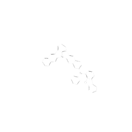 c1ccc(N(c2ccc3cc4c5cccc6c7cc8ccccc8cc7n(c4cc3c2)c65)c2cccc3c2oc2ccccc23)cc1